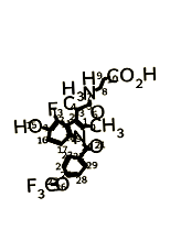 Cc1c(C(C)C(=O)NCCC(=O)O)c2c(F)c(O)ccc2n1C(=O)c1ccc(OC(F)(F)F)cc1